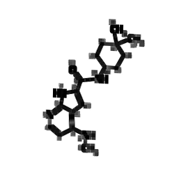 CNc1ccnc2[nH]c(C(=O)NC3CCC(C)(C)CC3)cc12